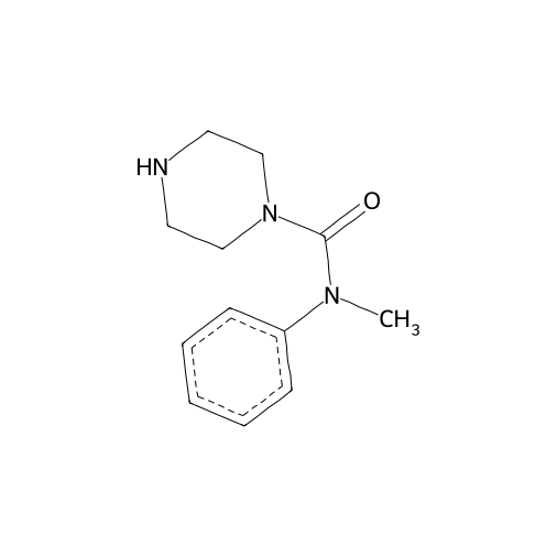 CN(C(=O)N1CCNCC1)c1ccccc1